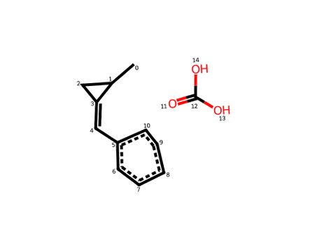 CC1CC1=Cc1ccccc1.O=C(O)O